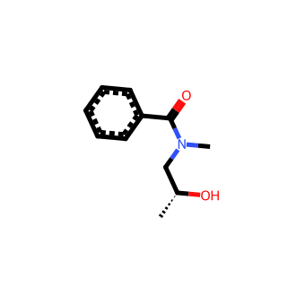 C[C@@H](O)CN(C)C(=O)c1ccccc1